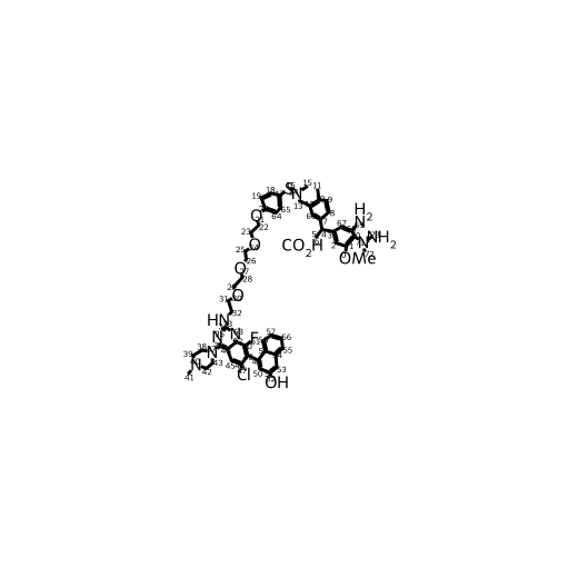 COc1cc(C(CC(=O)O)c2ccc(C)c(CN(C)Sc3ccc(OCCOCCOCCOCCNc4nc(N5CCN(C)CC5)c5cc(Cl)c(-c6cc(O)cc7ccccc67)c(F)c5n4)cc3)c2)cc(N)c1N(C)N